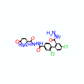 NNC(=O)c1cc(Cl)ccc1-c1ccc(C(=O)NNC(=O)c2ccc(=O)[nH]n2)cc1Cl